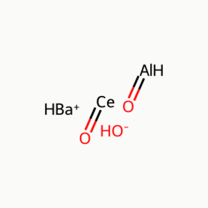 [BaH+].[OH-].[O]=[AlH].[O]=[Ce]